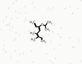 C=C/C(C)=C(C)\C=C(/C=C)OC(C)C